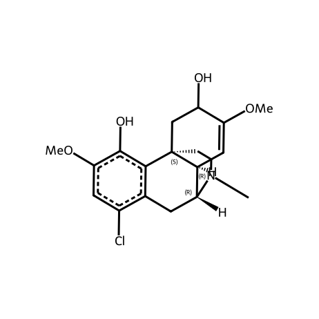 COC1=C[C@H]2[C@H]3Cc4c(Cl)cc(OC)c(O)c4[C@@]2(CCN3C)CC1O